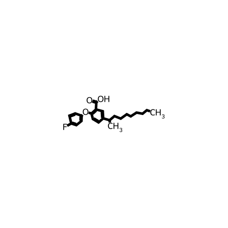 CCCCCCCCC(C)c1ccc(Oc2ccc(F)cc2)c(C(=O)O)c1